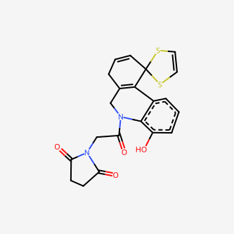 O=C1CCC(=O)N1CC(=O)N1CC2=C(c3cccc(O)c31)C1(C=CC2)SC=CS1